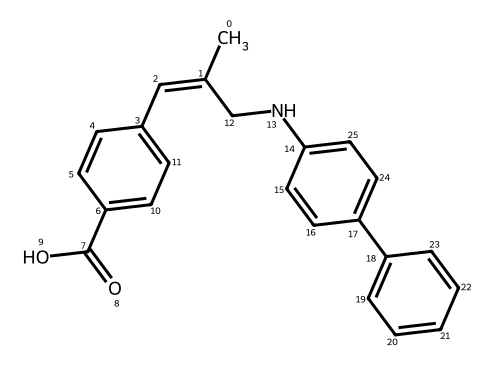 CC(=Cc1ccc(C(=O)O)cc1)CNc1ccc(-c2ccccc2)cc1